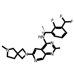 Cc1nc(N[C@H](C)c2cccc(C(F)F)c2F)c2cc(N3CC4(CCN(C)C4)C3)ncc2n1